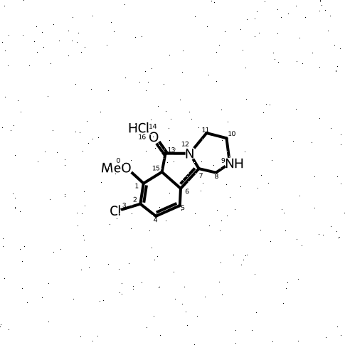 COC1=C(Cl)C=CC2=C3CNCCN3C(=O)C21.Cl